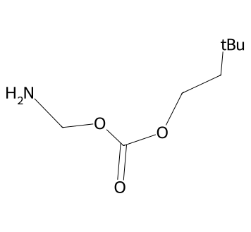 CC(C)(C)CCOC(=O)OCN